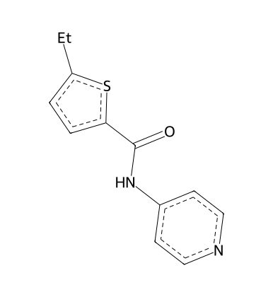 CCc1ccc(C(=O)Nc2ccncc2)s1